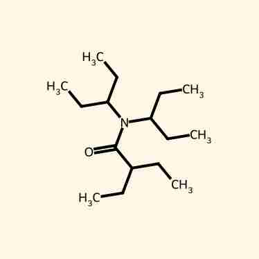 CCC(CC)C(=O)N(C(CC)CC)C(CC)CC